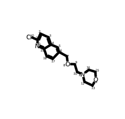 Clc1ccc2cc(COCCN3CCOCC3)ccc2n1